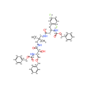 CC(C)(CNC(=O)CC(Cc1cc(F)ccc1F)NC(=O)OCc1ccccc1)CNC(=O)[C@@H](O)[C@@H](COCc1ccccc1)NC(=O)OCc1ccccc1